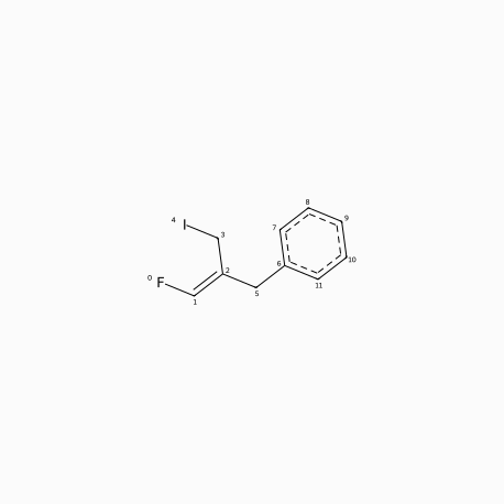 F/C=C(\CI)Cc1ccccc1